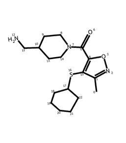 Cc1noc(C(=O)N2CCC(CN)CC2)c1SC1CCCCC1